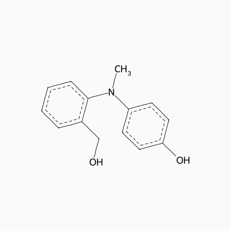 CN(c1ccc(O)cc1)c1ccccc1CO